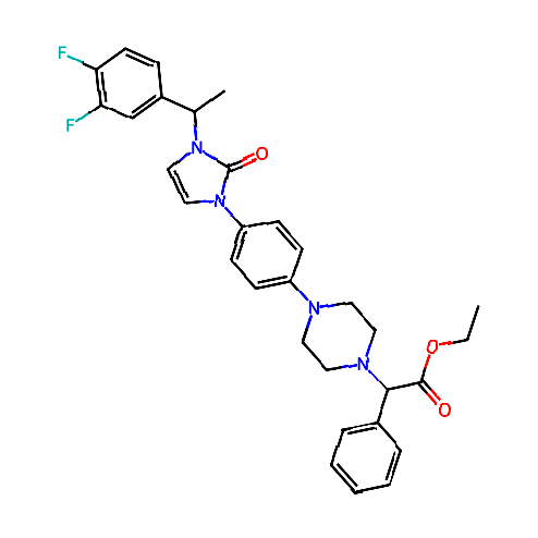 CCOC(=O)C(c1ccccc1)N1CCN(c2ccc(-n3ccn(C(C)c4ccc(F)c(F)c4)c3=O)cc2)CC1